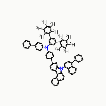 [2H]c1c([2H])c([2H])c(-c2cc(-c3c([2H])c([2H])c([2H])c([2H])c3[2H])cc(N(c3ccc(-c4ccccc4)cc3)c3ccc(-c4ccc5c6c7ccccc7ccc6n(-c6ccc(-c7ccccc7)c7ccccc67)c5c4)cc3)c2)c([2H])c1[2H]